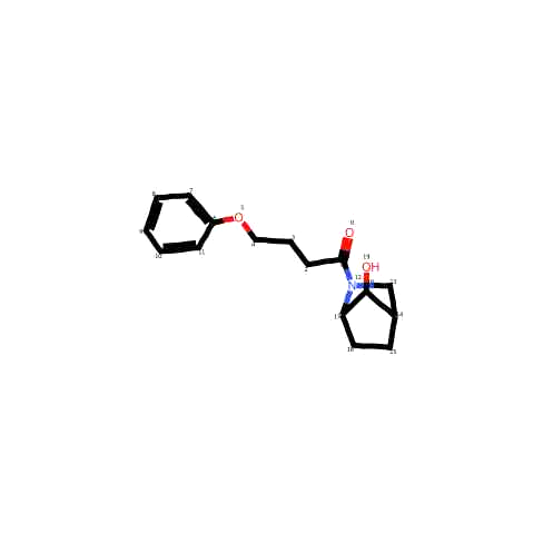 O=C(CCCOc1ccccc1)N1CC2CCC1C2O